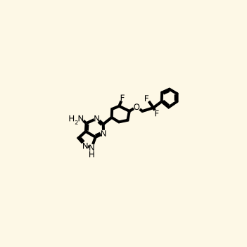 Nc1nc(C2CCC(OCC(F)(F)c3ccccc3)C(F)C2)nc2[nH]ncc12